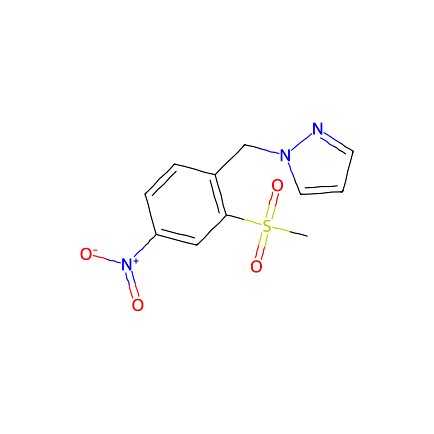 CS(=O)(=O)c1cc([N+](=O)[O-])ccc1Cn1cccn1